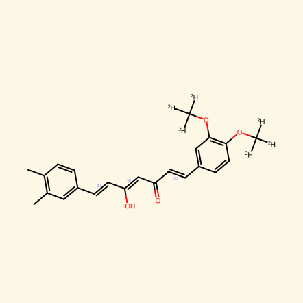 [2H]C([2H])([2H])Oc1ccc(/C=C/C(=O)/C=C(O)/C=C/c2ccc(C)c(C)c2)cc1OC([2H])([2H])[2H]